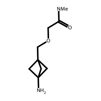 CNC(=O)COCC12CC(N)(C1)C2